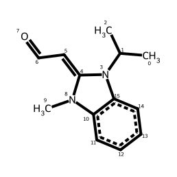 CC(C)N1/C(=C/C=O)N(C)c2ccccc21